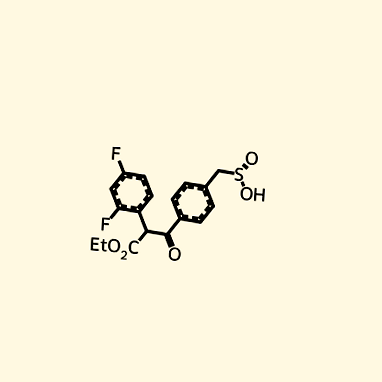 CCOC(=O)C(C(=O)c1ccc(CS(=O)O)cc1)c1ccc(F)cc1F